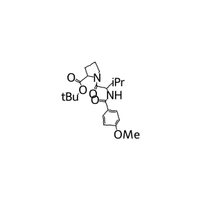 COc1ccc(C(=O)NC(C(=O)N2CCCC2C(=O)OC(C)(C)C)C(C)C)cc1